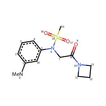 CNc1cccc(N(CC(=O)N2CCC2)S(C)(=O)=O)c1